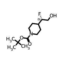 CC(C)(C)OC(=O)N1CCC([C@H](F)CO)CC1